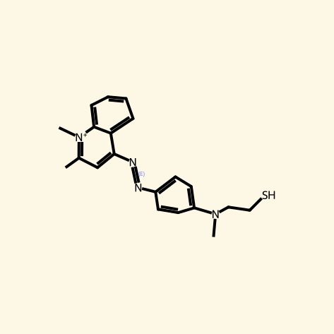 Cc1cc(/N=N/c2ccc(N(C)CCS)cc2)c2ccccc2[n+]1C